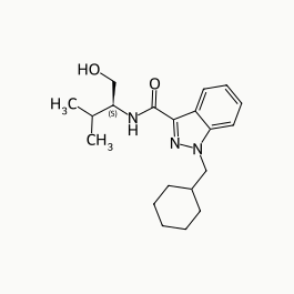 CC(C)[C@@H](CO)NC(=O)c1nn(CC2CCCCC2)c2ccccc12